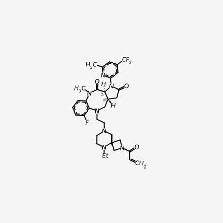 C=CC(=O)N1CC2(CN(CCN3C[C@H]4CC(=O)N(c5cc(C(F)(F)F)cc(C)n5)[C@@H]4C(=O)N(C)c4cccc(F)c43)CCN2CC)C1